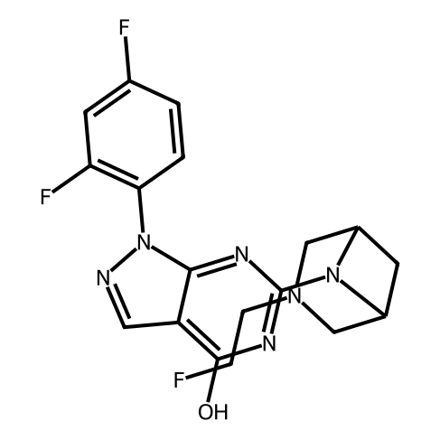 Oc1nc(N2C3CC2CN(CCF)C3)nc2c1cnn2-c1ccc(F)cc1F